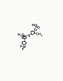 Cc1cc(SCc2cc(-c3ccc(C(F)(F)F)cc3)nn2C)ccc1OCC(=O)O